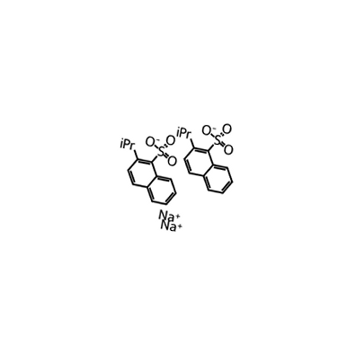 CC(C)c1ccc2ccccc2c1S(=O)(=O)[O-].CC(C)c1ccc2ccccc2c1S(=O)(=O)[O-].[Na+].[Na+]